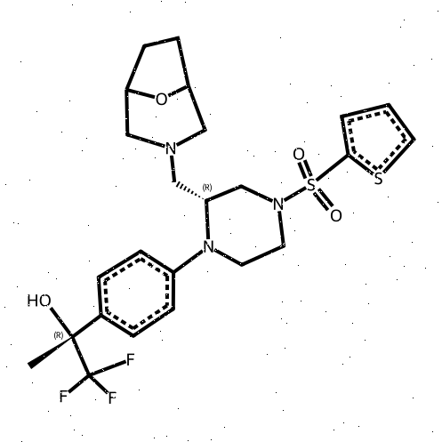 C[C@@](O)(c1ccc(N2CCN(S(=O)(=O)c3cccs3)C[C@H]2CN2CC3CCC(C2)O3)cc1)C(F)(F)F